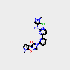 CN1CC[C@@](O)(c2cn(-c3cccc(-c4ccnc(Nc5cnn(C)c5Cl)n4)n3)cn2)C1=O